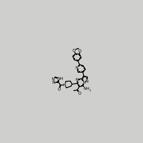 CC(=O)c1c(C2CCN(C(=O)c3nnc[nH]3)CC2)nc2c(-c3ccc(-c4ccc5c(c4)OCO5)nc3)cnn2c1N